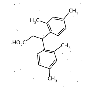 Cc1ccc(C(CC(=O)O)c2ccc(C)cc2C)c(C)c1